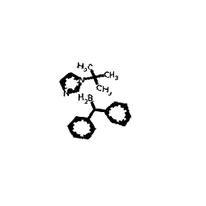 BC(c1ccccc1)c1ccccc1.CC(C)(C)n1ccnc1